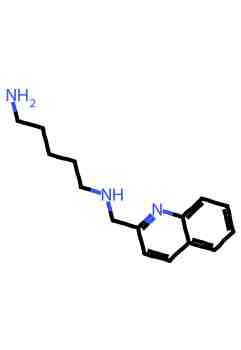 NCCCCCNCc1ccc2ccccc2n1